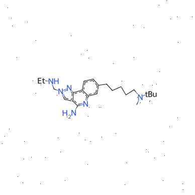 CCNCn1cc2c(N)nc3cc(CCCCCN(C)C(C)(C)C)ccc3c2n1